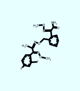 CON=C(C(C)=NOCc1ccccc1C(=NOC)C(N)=O)c1ccc(F)cc1F